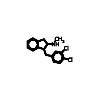 CNC1Cc2ccccc2C1Cc1ccc(Cl)c(Cl)c1